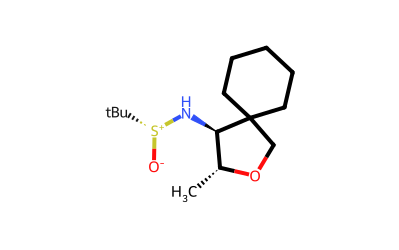 C[C@H]1OCC2(CCCCC2)[C@@H]1N[S@+]([O-])C(C)(C)C